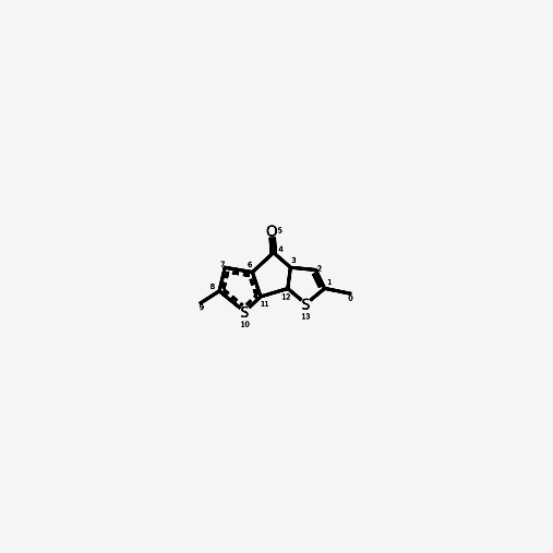 CC1=CC2C(=O)c3cc(C)sc3C2S1